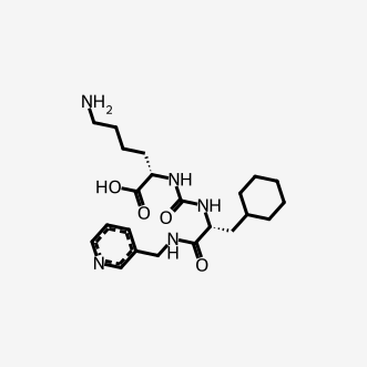 NCCCC[C@H](NC(=O)N[C@H](CC1CCCCC1)C(=O)NCc1cccnc1)C(=O)O